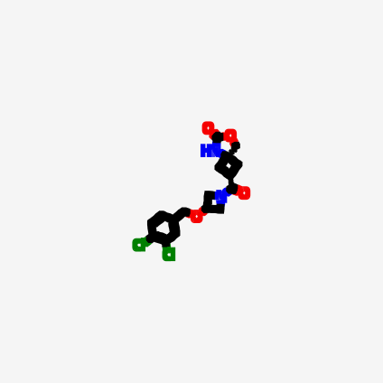 O=C1N[C@]2(CO1)C[C@@H](C(=O)N1CC(OCc3ccc(Cl)c(Cl)c3)C1)C2